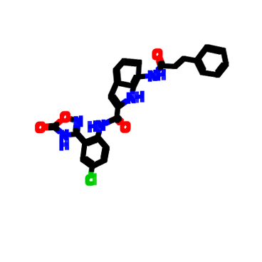 O=C(CCc1ccccc1)Nc1cccc2cc(C(=O)Nc3ccc(Cl)cc3-c3noc(=O)[nH]3)[nH]c12